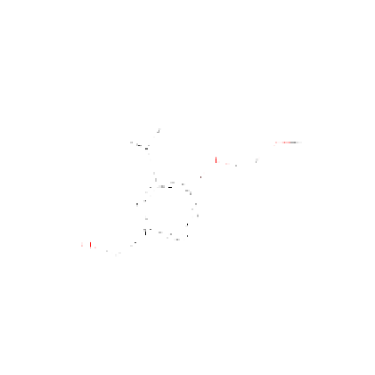 COCOc1ccc(CO)cc1C(C)C